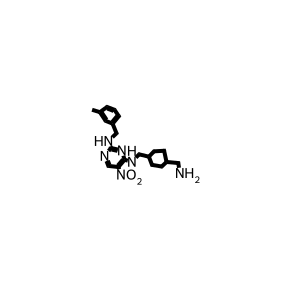 Cc1cccc(CNc2ncc([N+](=O)[O-])c(NCC3CCC(CN)CC3)n2)c1